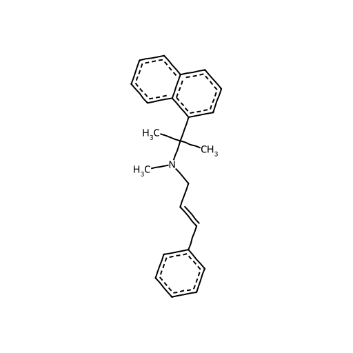 CN(CC=Cc1ccccc1)C(C)(C)c1cccc2ccccc12